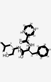 CC(C)C[C@@H](CO)NC(=O)[C@H](Cc1ccccc1)NC(=O)c1cnccn1